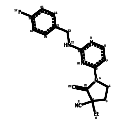 CCC1(C#N)CCN(c2ccnc(NCc3ccc(F)cc3)n2)C1=O